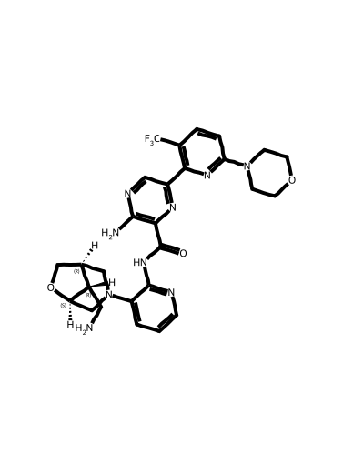 NC[C@H]1[C@H]2CO[C@@H]1CN(c1cccnc1NC(=O)c1nc(-c3nc(N4CCOCC4)ccc3C(F)(F)F)cnc1N)C2